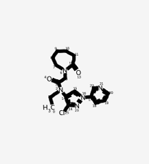 CCN(C(=O)CN1CCCCCC1=O)c1cn(-c2cccnc2)nc1Cl